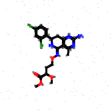 COC(=O)C(CCON=C1NC(c2ccc(F)cc2Br)Cc2nc(N)nc(C)c21)OC